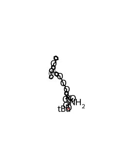 CC(C)(C)OC(=O)CC[C@@H](C(N)=O)N1Cc2cc(OCCCOCCCOc3ccc([C@@H]4c5ccc(OCc6ccccc6)cc5CC[C@@H]4C4C=CC=CC4)cc3)ccc2C1=O